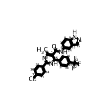 CC1=C(C(=O)Nc2ccc3[nH]ncc3c2)C(c2ccc(C(F)(F)F)cc2)NC(c2ccc(Cl)cc2)=N1